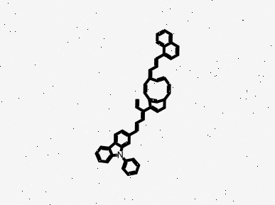 C=C/C(=C\C=C\c1ccc2c3ccccc3n(-c3ccccc3)c2c1)C1=CCC2C=C1\C=C/C(=C/C=C/c1cccc3ccccc13)/C=C/C=C\2